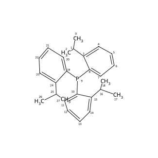 CC(C)c1ccccc1P(c1ccccc1C(C)C)c1ccccc1C(C)C